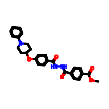 COC(=O)c1ccc(C(=O)NNC(=O)c2ccc(OC3CCN(c4ccccc4)CC3)cc2)cc1